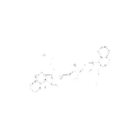 CCCCN1/C(=C/C=C2\CCC(/C=C/C3=[N+](CCCC)c4ccc5ccccc5c4C3(C)C)=C2C)C(C)(C)c2c1ccc1ccccc21